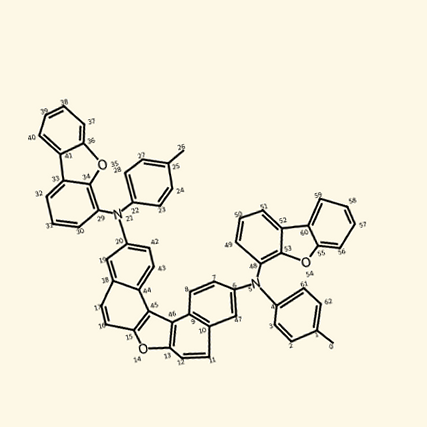 Cc1ccc(N(c2ccc3c(ccc4oc5ccc6cc(N(c7ccc(C)cc7)c7cccc8c7oc7ccccc78)ccc6c5c43)c2)c2cccc3c2oc2ccccc23)cc1